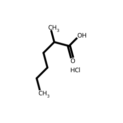 CCCCC(C)C(=O)O.Cl